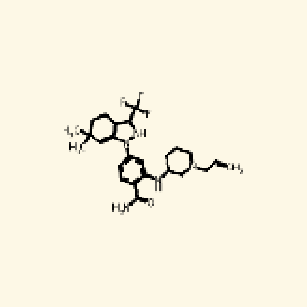 C=CCN1CCCC(Nc2cc(N3NC(C(F)(F)F)C4CCC(C)(C)C=C43)ccc2C(N)=O)C1